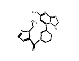 CCn1nccc1C(=O)N1CCCC(C2=CC(C)=NC3=NCNN23)C1